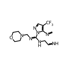 C=Nc1c(C(F)(F)F)cnn1/C(=N\CN1CCOCC1)NCC=N